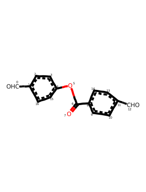 O=Cc1ccc(OC(=O)c2ccc(C=O)cc2)cc1